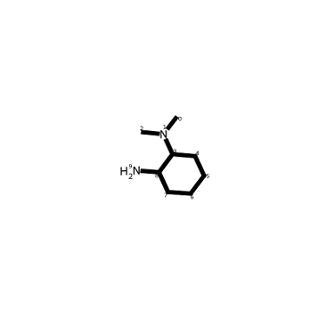 CN(C)C1CCCCC1N